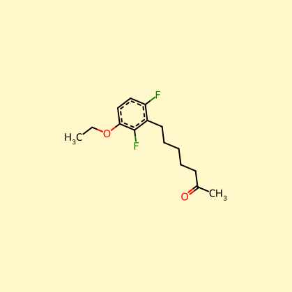 CCOc1ccc(F)c(CCCCCC(C)=O)c1F